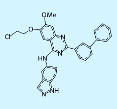 COc1cc2nc(-c3cccc(-c4ccccc4)c3)nc(Nc3ccc4[nH]ncc4c3)c2cc1OCCCl